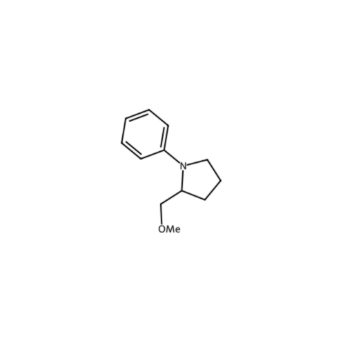 COCC1CCCN1c1ccccc1